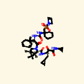 CC1([C@H](NC(=O)NC2(CS(=O)(=O)N3CCC3)CCCCC2)C(=O)N2C[C@H]3[C@@H]([C@H]2C(=O)N[C@@H](CC2CC2)C(=O)C(=O)NC2CC2)C3(C)C)CCCCC1